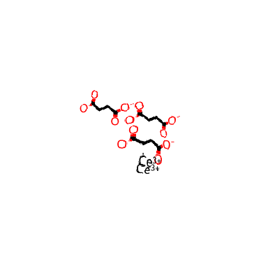 O=C([O-])CCC(=O)[O-].O=C([O-])CCC(=O)[O-].O=C([O-])CCC(=O)[O-].[Ce+3].[Ce+3]